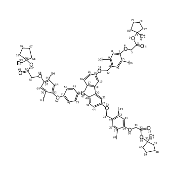 CCC1(OC(=O)COc2cc(I)c(COc3ccc4c(c3)-c3cc(OCc5cc(I)c(OCC(=O)OC6(CC)CCCC6)cc5I)ccc3[SH]4c3ccc(Oc4cc(I)c(OCC(=O)OC5(CC)CCCC5)cc4I)cc3)cc2I)CCCC1